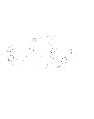 Cc1ncsc1-c1ccc([C@H](C)NC(=O)[C@@H]2C[C@@H](O)CN2C(=O)[C@@H](c2cc(N3CCC(NC4CCC(OC5CC(Oc6cc(N7CC8CCN(c9cc(-c%10ccccc%10O)nnc9N)CC7C8)ccn6)C5)CC4)CC3)no2)C(C)C)cc1